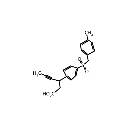 CC#CC(CC(=O)O)c1ccc(S(=O)(=O)Cc2ccc(C)cc2)cc1